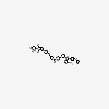 Nc1ncnc2c1c(-c1ccc(Oc3ccccc3)cc1)nn2[C@@H]1CCCN(C2CCN(C(=O)N3CCC(CCC4CCN(c5ccc6c(c5)C(=O)N(C5CCC(=O)NC5=O)C6=O)CC4)CC3)CC2)C1